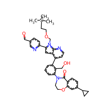 C[Si](C)(C)CCOCn1c(-c2ccc(C=O)cn2)cc2c(-c3cccc(N4CCOc5cc(C6CC6)ccc5C4=O)c3CO)ccnc21